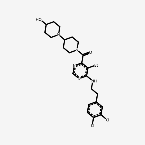 CCc1c(NCCc2ccc(Cl)c(Cl)c2)ncnc1C(=O)N1CCC(N2CCC(O)CC2)CC1